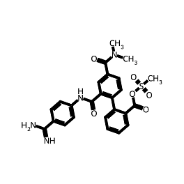 CN(C)C(=O)c1ccc(-c2ccccc2C(=O)OS(C)(=O)=O)c(C(=O)Nc2ccc(C(=N)N)cc2)c1